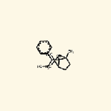 CC1(C)CC2(C)CCC1C2(O)C(CO)c1ccccc1